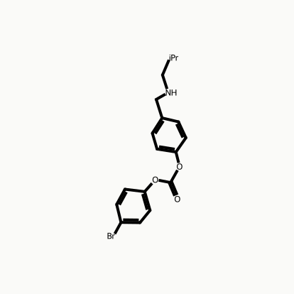 CC(C)CNCc1ccc(OC(=O)Oc2ccc(Br)cc2)cc1